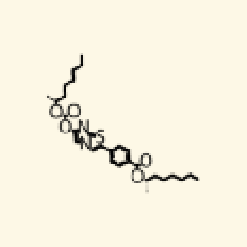 CCCCCC[C@H](C)OC(=O)Oc1cn2cc(-c3ccc(C(=O)O[C@@H](C)CCCCCC)cc3)sc2n1